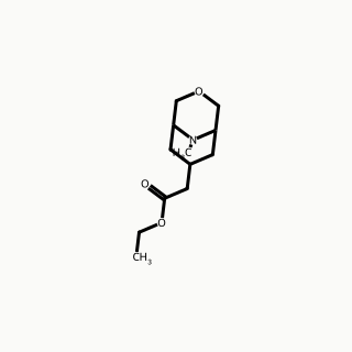 CCOC(=O)CC1CC2COCC(C1)N2C